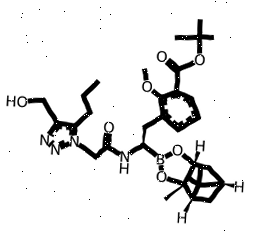 CCCc1c(CO)nnn1CC(=O)N[C@@H](Cc1cccc(C(=O)OC(C)(C)C)c1OC)B1O[C@@H]2C[C@@H]3C[C@@H](C3(C)C)[C@]2(C)O1